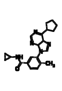 Cc1ccc(C(=O)NC2CC2)cc1N1C=NC2C(C3CCCC3)=NC=NC21